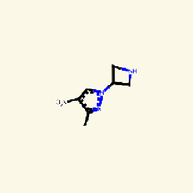 Cc1nn(C2CNC2)cc1[N+](=O)[O-]